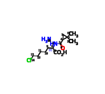 CC1(C)CC1C(=O)N/C(=C/CCCCCl)C(=O)O.N